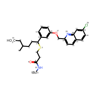 CC(CCC(SCCC(=O)NC(C)(C)C)c1cccc(OCc2ccc3ccc(Cl)cc3n2)c1)CC(=O)O